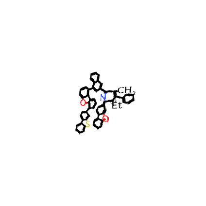 CC[C@@H]1C(c2ccccc2)=C(C)CC(c2cc(-c3cccc4oc5c(-c6ccc7c(c6)sc6ccccc67)cccc5c34)c3ccccc3c2)=NC1c1ccc2c(c1)oc1ccccc12